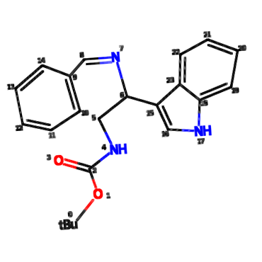 CC(C)(C)OC(=O)NCC(/N=C\c1ccccc1)c1c[nH]c2ccccc12